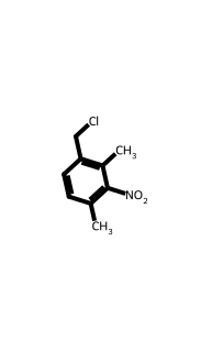 Cc1ccc(CCl)c(C)c1[N+](=O)[O-]